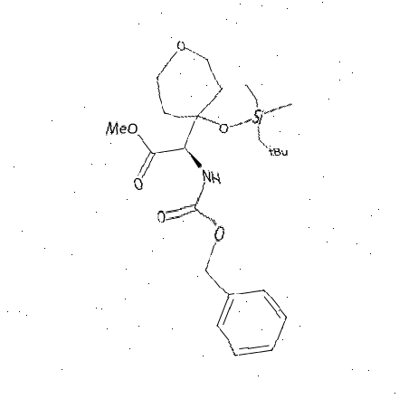 COC(=O)[C@H](NC(=O)OCc1ccccc1)C1(O[Si](C)(C)C(C)(C)C)CCOCC1